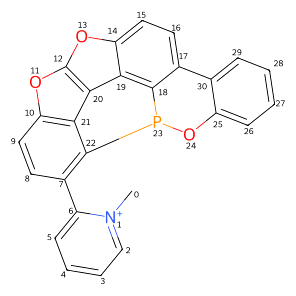 C[n+]1ccccc1-c1ccc2oc3oc4ccc5c6c4c3c2c1p-6oc1ccccc15